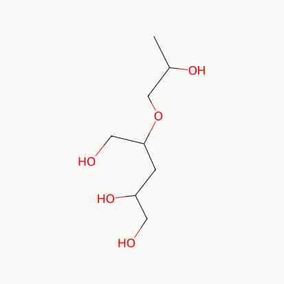 CC(O)COC(CO)CC(O)CO